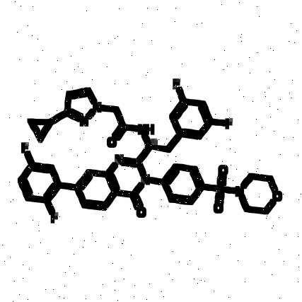 O=C(Cn1ccc(C2CC2)n1)N[C@@H](Cc1cc(F)cc(F)c1)c1nc2cc(-c3cc(F)ccc3F)ccc2c(=O)n1-c1ccc(S(=O)(=O)N2CCOCC2)cc1